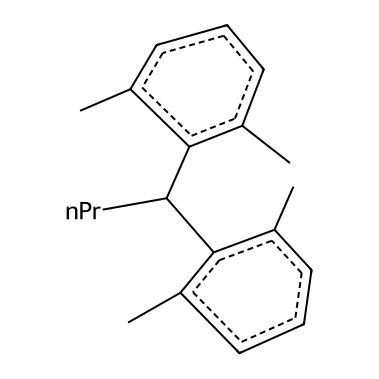 CCCC(c1c(C)cccc1C)c1c(C)cccc1C